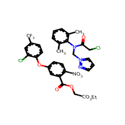 CCOC(=O)COC(=O)c1cc(Oc2ccc(C(F)(F)F)cc2Cl)ccc1[N+](=O)[O-].Cc1cccc(C)c1N(Cn1cccn1)C(=O)CCl